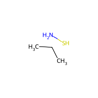 CCC.NS